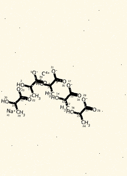 CC(O)C(=O)[O-].CC(O)C(=O)[O-].CC(O)C(=O)[O-].CC(O)C(=O)[O-].CC(O)C(=O)[O-].[C+4].[Na+]